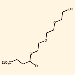 CCOC(=O)CCC(CC)OCCOCCOCCO